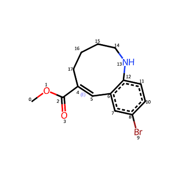 COC(=O)/C1=C/c2cc(Br)ccc2NCCCC1